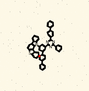 c1ccc(-c2ccc(-c3cc(-c4nc(-c5ccccc5)nc(-c5ccc(-c6ccccc6)cc5)n4)cc(-n4c5ccccc5c5ccc6sc7ccccc7c6c54)c3)cc2)cc1